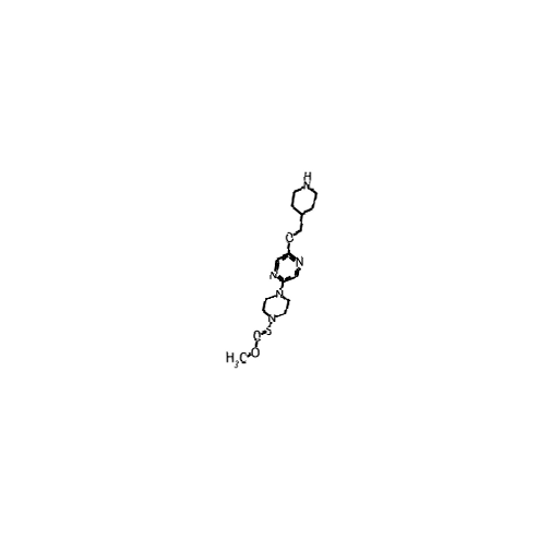 COOSN1CCN(c2cnc(OCC3CCNCC3)cn2)CC1